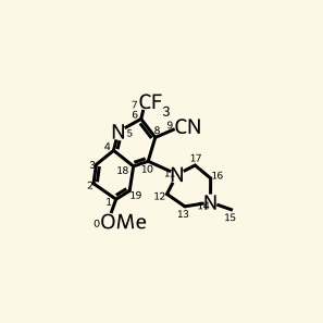 COc1ccc2nc(C(F)(F)F)c(C#N)c(N3CCN(C)CC3)c2c1